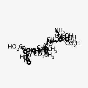 Cc1c(-c2ccc(N3CCc4c(OCC(=O)O)ccc(C(=O)Nc5nc6ccccc6s5)c4C3)nc2C(=O)O)cnn1CC12CC3(C)CC(C)(C1)CC(OCCN(C)C(=O)OCC=Cc1ccc(O[C@@H]4O[C@H](C(=O)O)[C@@H](O)[C@H](O)[C@H]4O)c(NC(=O)CCN)c1)(C3)C2